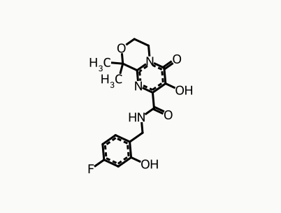 CC1(C)OCCn2c1nc(C(=O)NCc1ccc(F)cc1O)c(O)c2=O